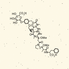 C#CCOc1cc(O[C@@H]2OC(C(=O)O)[C@@H](O)[C@H](O)[C@H]2O)ccc1COC(=O)N(C)[C@H](C(=O)N[C@H](C(=O)N(C)[C@@H](C(C)CC)[C@@H](CC(=O)N1CCC[C@H]1[C@H](OC)C(C)C(=O)NC(Cc1ccccc1)C(=O)O)OC)C(C)C)C(C)C